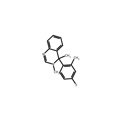 Cc1cc(F)ccc1C1(C)c2ccccc2N=CN1C